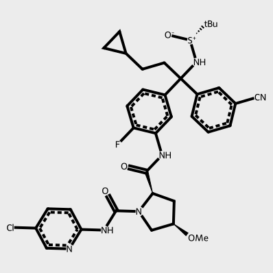 CO[C@@H]1C[C@H](C(=O)Nc2cc(C(CCC3CC3)(N[S@+]([O-])C(C)(C)C)c3cccc(C#N)c3)ccc2F)N(C(=O)Nc2ccc(Cl)cn2)C1